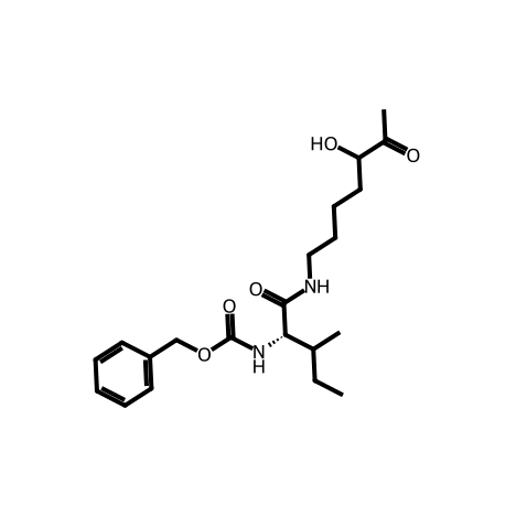 CCC(C)[C@H](NC(=O)OCc1ccccc1)C(=O)NCCCCC(O)C(C)=O